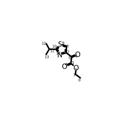 CCOC(=O)C(=O)c1csc(C(C)C)n1